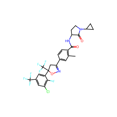 Cc1cc(C2=NOC(c3cc(C(F)(F)F)cc(Cl)c3F)(C(F)(F)F)C2)ccc1C(=O)NC1CCN(C2CC2)C1=O